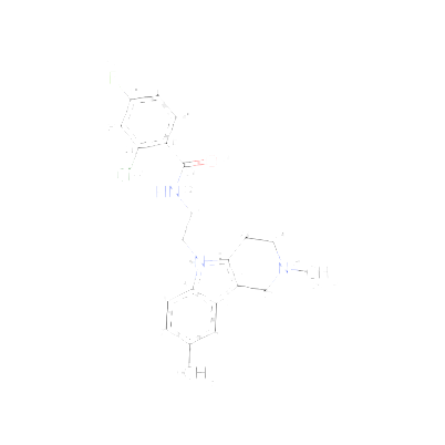 Cc1ccc2c(c1)c1c(n2CCNC(=O)c2ccc(F)cc2Cl)CCN(C)C1